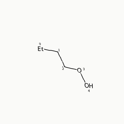 CCC[CH]OO